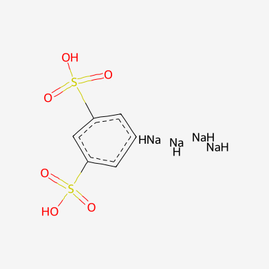 O=S(=O)(O)c1cccc(S(=O)(=O)O)c1.[NaH].[NaH].[NaH].[NaH]